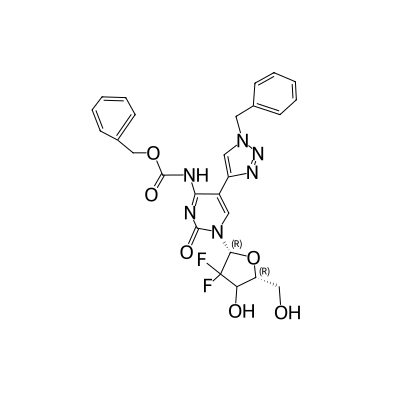 O=C(Nc1nc(=O)n([C@@H]2O[C@H](CO)C(O)C2(F)F)cc1-c1cn(Cc2ccccc2)nn1)OCc1ccccc1